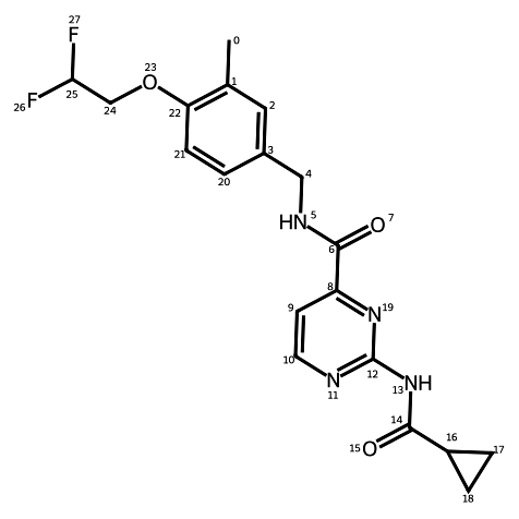 Cc1cc(CNC(=O)c2ccnc(NC(=O)C3CC3)n2)ccc1OCC(F)F